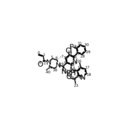 C=CC(=O)N1C[C@H](C)N(C2=N[PH](=O)N(c3c(C)ccnc3C(C)C)c3nc(-c4ccccc4F)c(Cl)cc32)C[C@H]1C